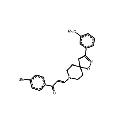 COc1cccc(C2=NOC3(CCN(C=CC(=O)c4ccc(C(C)(C)C)cc4)CC3)C2)c1